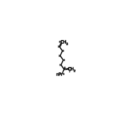 C=CCCCCC(=C)CCC